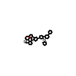 c1ccc(-c2ccc3c(c2)c2ccc(-c4ccc5c(c4)c4ccccc4n5-c4cccc5c4-c4ccccc4OC5)cc2n3-c2ccccc2)cc1